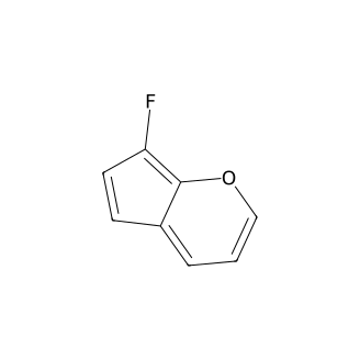 Fc1ccc2cccoc1-2